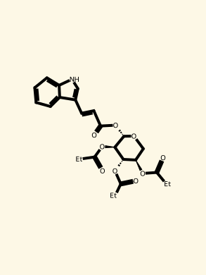 CCC(=O)O[C@@H]1[C@@H](OC(=O)CC)[C@H](OC(=O)/C=C/c2c[nH]c3ccccc23)OC[C@H]1OC(=O)CC